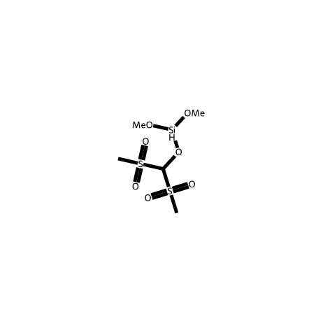 CO[SiH](OC)OC(S(C)(=O)=O)S(C)(=O)=O